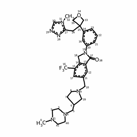 CN1CCN(CC2CCN(Cc3cc4c(c(C(F)(F)F)c3)CN(c3cccc(C5(Cc6nncn6C)COC5)c3)C4=O)C2)CC1